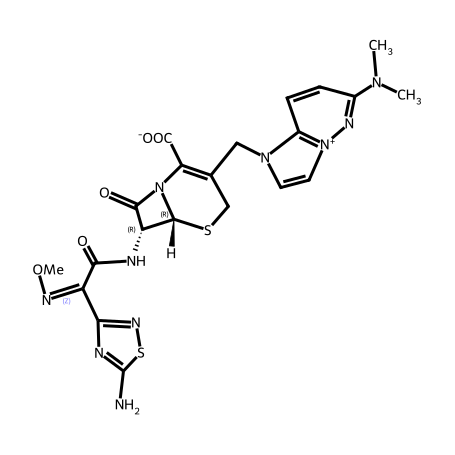 CO/N=C(\C(=O)N[C@@H]1C(=O)N2C(C(=O)[O-])=C(Cn3cc[n+]4nc(N(C)C)ccc34)CS[C@H]12)c1nsc(N)n1